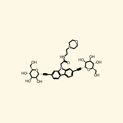 O=C(Cn1c2cc(C#C[C@H]3O[C@H](CO)[C@@H](O)[C@H](O)[C@@H]3O)ccc2c2ccc(C#C[C@H]3O[C@H](CO)[C@@H](O)[C@H](O)[C@@H]3O)cc21)NCCN1CCOCC1